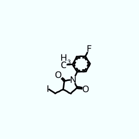 Cc1cc(F)ccc1N1C(=O)CC(CI)C1=O